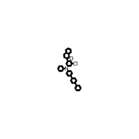 Clc1cc(N(c2ccccc2)c2ccc(-c3ccc(-c4ccccc4)cc3)cc2)cc2c1oc1c3ccccc3ccc21